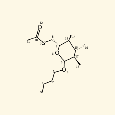 CCCCOC1O[C@H](CSC(C)=O)[C@@H](C)[C@H](C)[C@H]1C